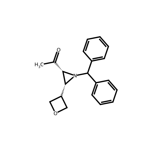 CC(=O)[C@H]1[C@@H](C2COC2)N1C(c1ccccc1)c1ccccc1